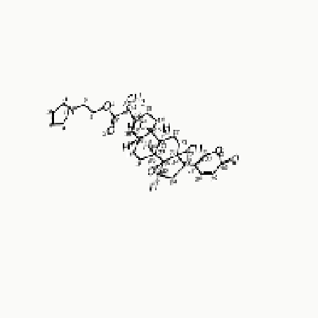 CN(C(=O)OCCN1CCCC1)[C@H]1CC[C@@]2(C)[C@H](CC[C@@H]3[C@@H]2CC[C@]2(C)[C@@H](c4ccc(=O)oc4)C[C@H]4O[C@]342)C1